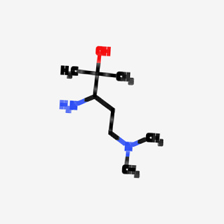 CN(C)CCC(N)C(C)(C)O